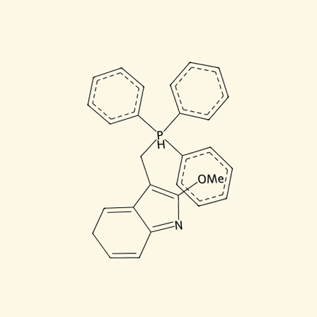 COC1=C(C[PH](c2ccccc2)(c2ccccc2)c2ccccc2)C2=CCC=CC2=N1